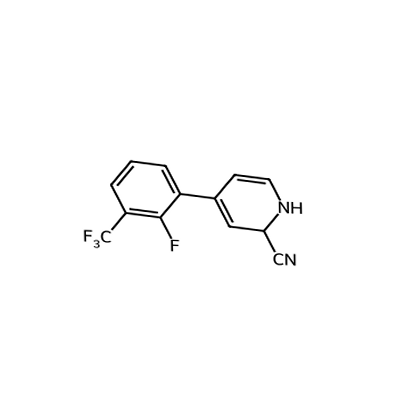 N#CC1C=C(c2cccc(C(F)(F)F)c2F)C=CN1